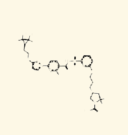 CC1(C)C[C@H](CCCNc2cccc(S(=O)(=O)NC(=O)c3ccc(-n4ccc(OCCC5C(C)(C)C5(C)C)n4)nc3Cl)n2)CN1C(=O)O